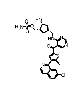 Cc1sc(C(=O)c2cncnc2NC[C@@H]2C[C@H](COS(N)(=O)=O)[C@@H](O)C2)cc1-c1nccc2ccc(Cl)cc12